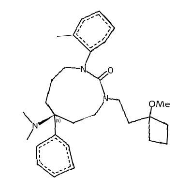 COC1(CCN2CC[C@@](c3ccccc3)(N(C)C)CCCN(c3ccccc3C)C2=O)CCC1